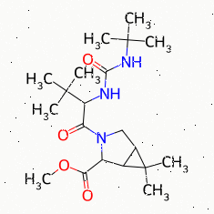 COC(=O)C1C2C(CN1C(=O)C(NC(=O)NC(C)(C)C)C(C)(C)C)C2(C)C